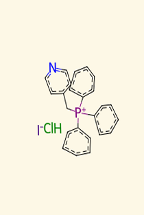 Cl.[I-].c1ccc([P+](Cc2ccncc2)(c2ccccc2)c2ccccc2)cc1